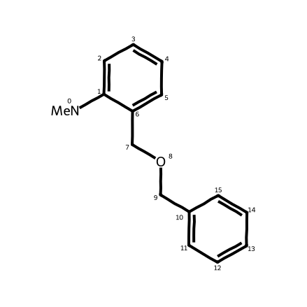 CNc1ccccc1COCc1ccccc1